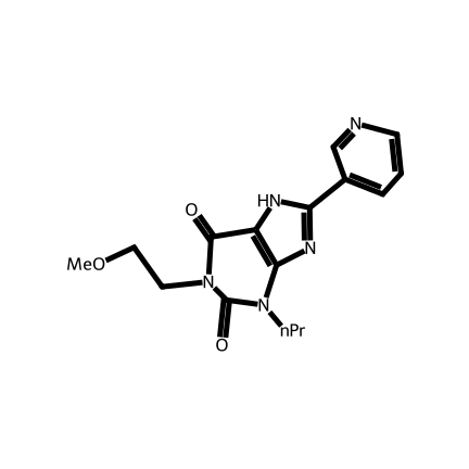 CCCn1c(=O)n(CCOC)c(=O)c2[nH]c(-c3cccnc3)nc21